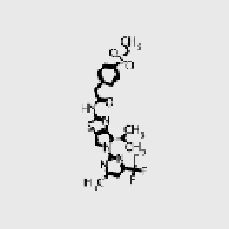 CCS(=O)(=O)c1ccc(CC(=O)Nc2nc3c(s2)CN(c2nc(C)cc(C(F)(F)F)n2)[C@@H]3C(C)C)cc1